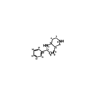 CC(NC1CCNCC1F)c1ccccc1